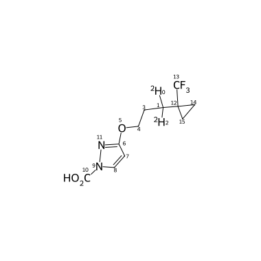 [2H]C([2H])(CCOc1ccn(C(=O)O)n1)C1(C(F)(F)F)CC1